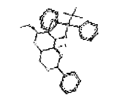 CS[C@@H]1OC2COC(c3ccccc3)O[C@@H]2[C@H](O[Si](c2ccccc2)(c2ccccc2)C(C)(C)C)C1O